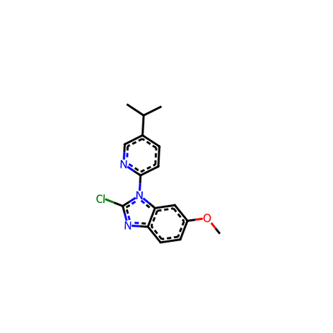 COc1ccc2nc(Cl)n(-c3ccc(C(C)C)cn3)c2c1